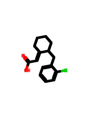 O=C(O)C=C1CCCCC1Cc1ccccc1Cl